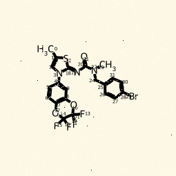 Cc1cn(-c2ccc3c(c2)OC(F)(F)C(F)(F)O3)c(=NC(=O)N(C)Cc2ccc(Br)cc2)s1